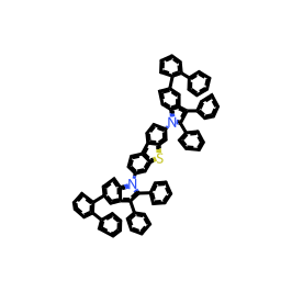 c1ccc(-c2ccccc2-c2ccc3c(c2)c(-c2ccccc2)c(-c2ccccc2)n3-c2ccc3c(c2)sc2cc(-n4c(-c5ccccc5)c(-c5ccccc5)c5cc(-c6ccccc6-c6ccccc6)ccc54)ccc23)cc1